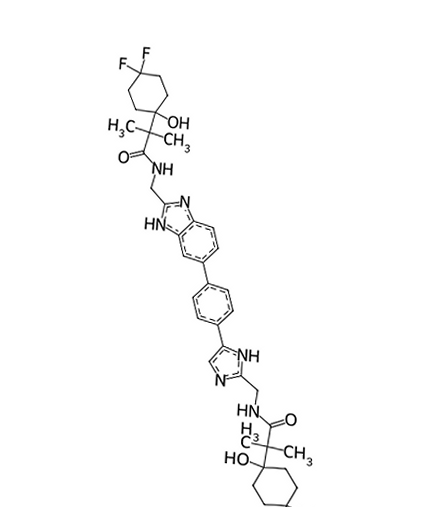 CC(C)(C(=O)NCc1ncc(-c2ccc(-c3ccc4nc(CNC(=O)C(C)(C)C5(O)CCC(F)(F)CC5)[nH]c4c3)cc2)[nH]1)C1(O)CCC(F)(F)CC1